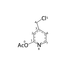 CC(=O)Oc1cc(CCl)ccn1